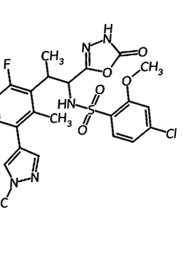 COc1cc(Cl)ccc1S(=O)(=O)NC(c1n[nH]c(=O)o1)C(C)c1c(F)ccc(-c2cnn(C)c2)c1C